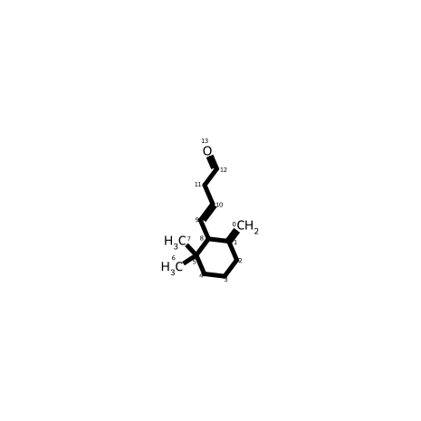 C=C1CCCC(C)(C)C1C=CCC=O